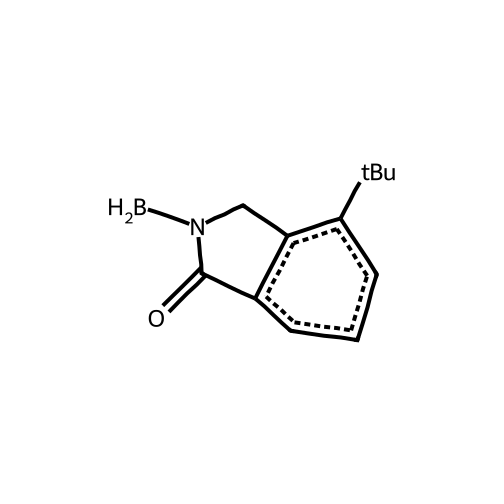 BN1Cc2c(cccc2C(C)(C)C)C1=O